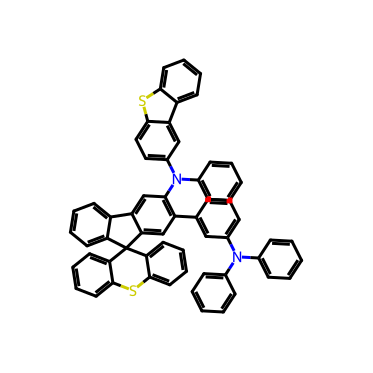 c1ccc(N(c2ccccc2)c2cccc(-c3cc4c(cc3N(c3ccccc3)c3ccc5sc6ccccc6c5c3)-c3ccccc3C43c4ccccc4Sc4ccccc43)c2)cc1